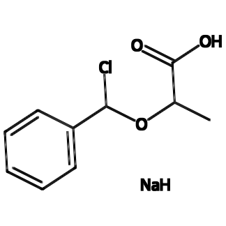 CC(OC(Cl)c1ccccc1)C(=O)O.[NaH]